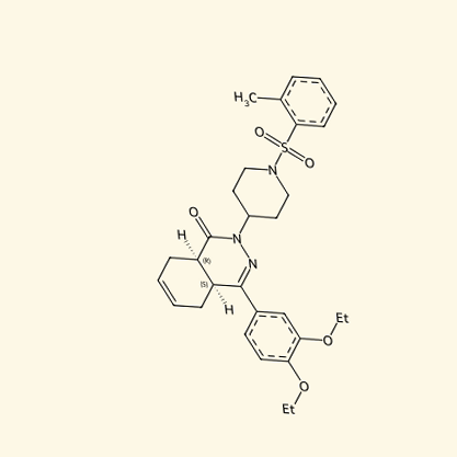 CCOc1ccc(C2=NN(C3CCN(S(=O)(=O)c4ccccc4C)CC3)C(=O)[C@@H]3CC=CC[C@H]23)cc1OCC